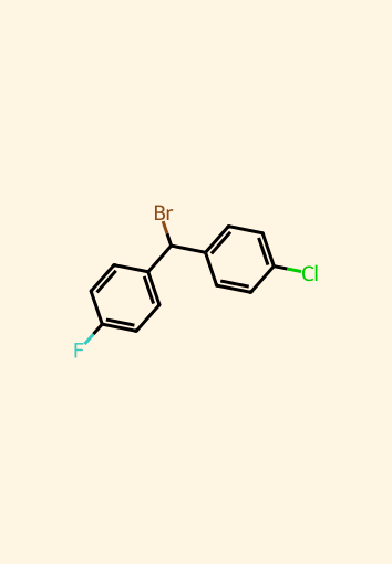 Fc1ccc(C(Br)c2ccc(Cl)cc2)cc1